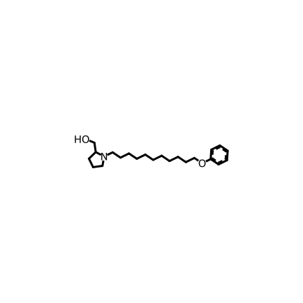 OCC1CCCN1CCCCCCCCCCCOc1ccccc1